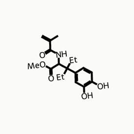 C=C(C)C(=O)NC(C(=O)OC)C(CC)(CC)c1ccc(O)c(O)c1